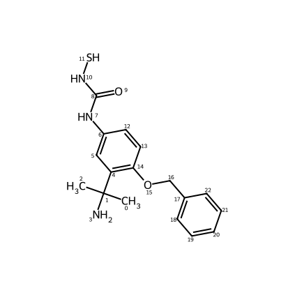 CC(C)(N)c1cc(NC(=O)NS)ccc1OCc1ccccc1